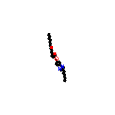 CCCCCCCCCCCCc1ccc(OC[C@H]2CC[C@H](c3ncc(CCCCCCC)cn3)CC2)cc1